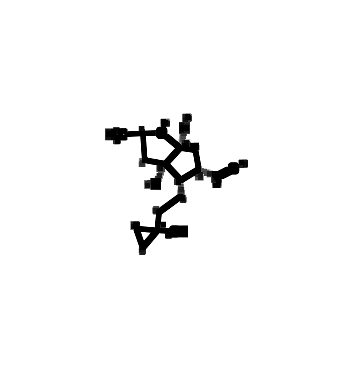 CC1C[C@@H]2[C@@H](CCC3(O)CC3)[C@@H](N=O)C[C@@H]2O1